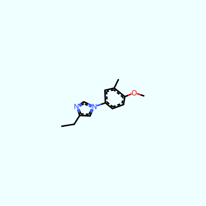 CCc1cn(-c2ccc(OC)c(C)c2)cn1